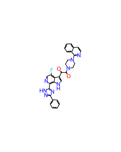 O=C(C(=O)N1CCN(c2nccc3ccccc23)CC1)c1c[nH]c2c(-c3nc(-c4ccccc4)n[nH]3)ncc(F)c12